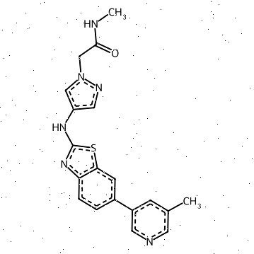 CNC(=O)Cn1cc(Nc2nc3ccc(-c4cncc(C)c4)cc3s2)cn1